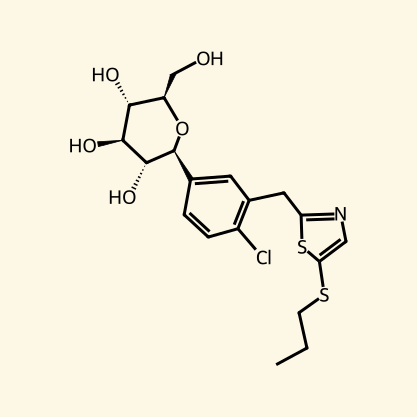 CCCSc1cnc(Cc2cc([C@@H]3O[C@H](CO)[C@@H](O)[C@H](O)[C@H]3O)ccc2Cl)s1